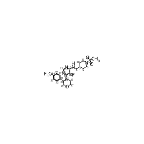 CS(=O)(=O)N1CCC(CNc2ncnc(N3CCOCC3c3ccc(C(F)(F)F)cc3)c2F)CC1